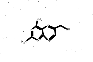 NCc1cnc2nc(N)nc(N)c2n1